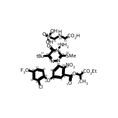 CCOC(=O)C(C)OC(=O)c1cc(Oc2ccc(C(F)(F)F)cc2Cl)ccc1[N+](=O)[O-].CSc1nnc(C(C)(C)C)c(=O)n1N.O=C(O)CNCP(=O)(O)O